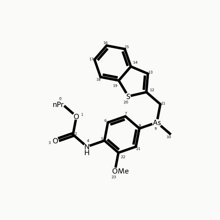 CCCOC(=O)Nc1ccc([As](C)Cc2cc3ccccc3s2)cc1OC